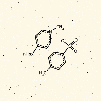 CCCCCCc1cc[n+](C)cc1.Cc1ccc(S(=O)(=O)[O-])cc1